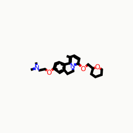 CC1=C2c3ccc(OCCN(C)C)cc3CCN2C(OCC2CCCCO2)C=C1